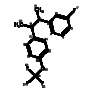 CC(c1cccc(F)c1)N(C)c1ccc(OC(F)(F)F)cc1